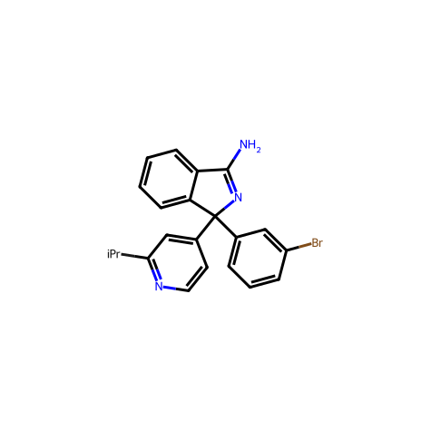 CC(C)c1cc(C2(c3cccc(Br)c3)N=C(N)c3ccccc32)ccn1